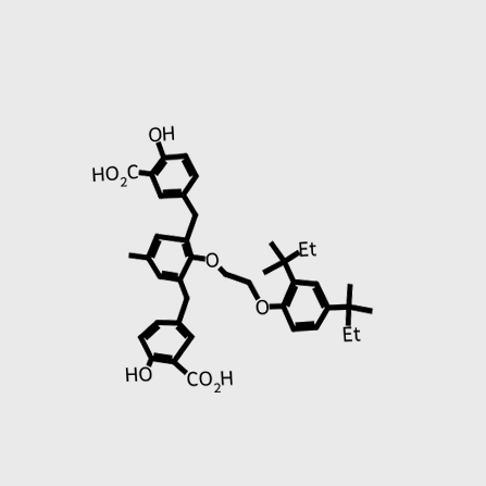 CCC(C)(C)c1ccc(OCCOc2c(Cc3ccc(O)c(C(=O)O)c3)cc(C)cc2Cc2ccc(O)c(C(=O)O)c2)c(C(C)(C)CC)c1